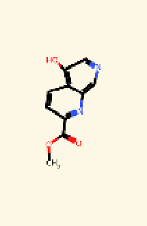 COC(=O)c1ccc2c(O)cncc2n1